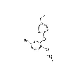 CCc1ccc(Oc2cc(Br)ccc2OCOC)cc1